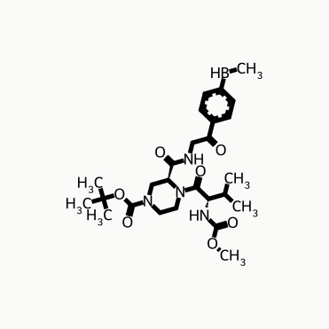 CBc1ccc(C(=O)CNC(=O)[C@@H]2CN(C(=O)OC(C)(C)C)CCN2C(=O)[C@@H](NC(=O)OC)C(C)C)cc1